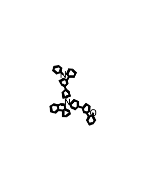 c1ccc(-n2c3ccccc3c3cc(-c4ccc(N(c5ccc(-c6ccc7oc8ccccc8c7c6)cc5)c5cc6ccccc6c6ccccc56)cc4)ccc32)cc1